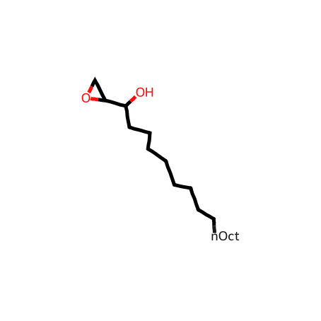 CCCCCCCCCCCCCCCCC(O)C1CO1